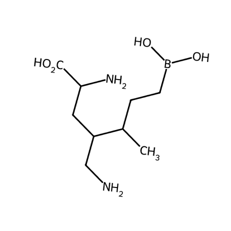 CC(CCB(O)O)C(CN)CC(N)C(=O)O